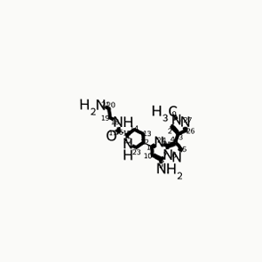 Cn1cc(-c2cnn3c(N)cc([C@H]4CC[C@@H](C(=O)NCCN)NC4)nc23)cn1